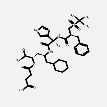 CC(C)[C@H](C[C@H](CC1CCCCC1)NC(=O)[C@](C)(NC(=O)[C@H](Cc1ccccc1)CS(=O)(=O)C(C)(C)C)c1c[nH]cn1)OC(=O)CCC(=O)O